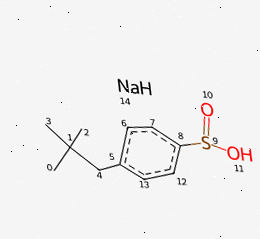 CC(C)(C)Cc1ccc(S(=O)O)cc1.[NaH]